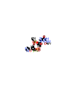 CC(C)C(=O)Nc1nc2c(ncn2[C@@H]2OC3COP(=O)(S)O[C@@H]4[C@@H](COP(=S)(OCCC#N)O[C@@H]2[C@@H]3C)C[C@@H](Oc2ccncn2)[C@@H]4F)c(=O)[nH]1